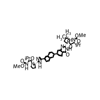 COC(=O)N[C@H](C(=O)N1CCC[C@H]1c1ncc(-c2ccc3cc(-c4ccc5c(=O)[nH]c([C@@H]6CC(C)(C)CN6C(=O)[C@@H](NC(=O)OC)C(C)C)nc5c4)ccc3c2)[nH]1)C(C)C